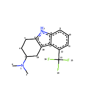 CN(C)C1CCc2[nH]c3cccc(C(F)(F)F)c3c2C1